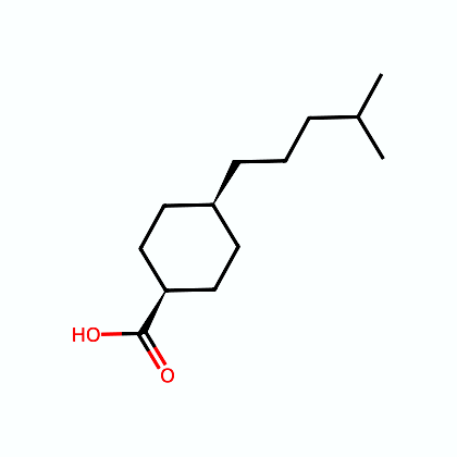 CC(C)CCC[C@H]1CC[C@@H](C(=O)O)CC1